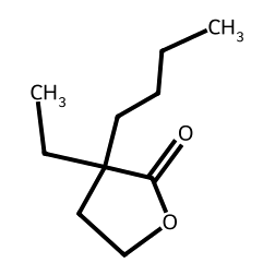 CCCCC1(CC)CCOC1=O